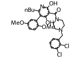 CCCCc1nc(O)c(C(=O)N2CCN(Cc3cccc(Cl)c3Cl)CC2)c(O)c1-c1cc(OC)ccc1OC